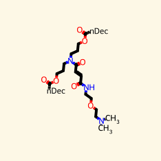 CCCCCCCCCCC(=O)OCCCN(CCCOC(=O)CCCCCCCCCC)C(=O)C=CC(=O)NCCOCCN(C)C